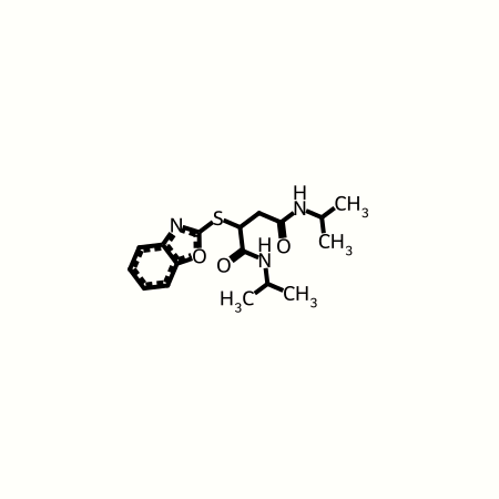 CC(C)NC(=O)CC(Sc1nc2ccccc2o1)C(=O)NC(C)C